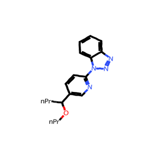 CCCOC(CCC)c1ccc(-n2nnc3ccccc32)nc1